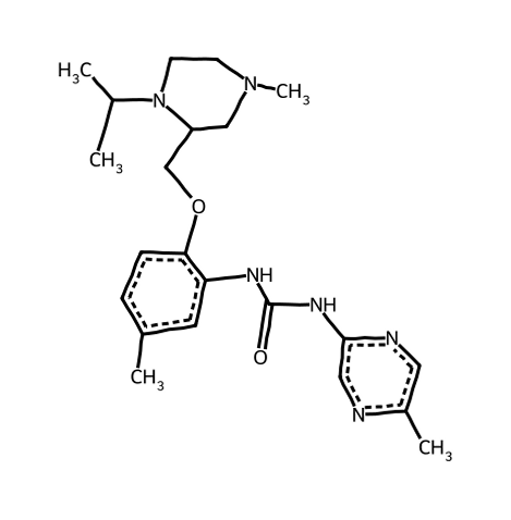 Cc1ccc(OCC2CN(C)CCN2C(C)C)c(NC(=O)Nc2cnc(C)cn2)c1